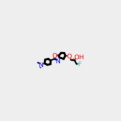 CN(C)c1ccc(-c2nc3cc(OC[C@@H](O)CF)ccc3o2)cc1